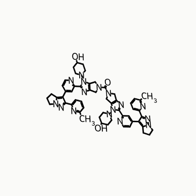 Cc1cccc(-c2nn3c(c2-c2ccnc(-c4nc5c(n4N4CCC(O)CC4)CN(C(=O)N4Cc6nc(-c7cc(-c8c(-c9cccc(C)n9)nn9c8CCC9)ccn7)n(N7CCC(O)CC7)c6C4)C5)c2)CCC3)n1